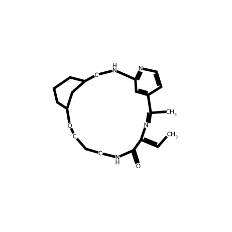 C/C=C1\N=C(/C)c2ccnc(c2)NCC2CCCC(C2)OCCCNC1=O